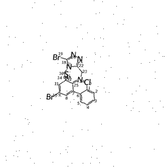 Clc1ccccc1C1=CC(Br)=CC23C=CSC2n2c(Br)nnc2CN=C13